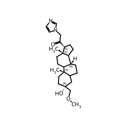 COC[C@@]1(O)CC[C@@]2(C)C(CC[C@@H]3C2CC[C@@]2(C)C3CC[C@@H]2C(=O)Cn2ccnc2)C1